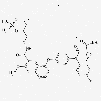 COc1cc2nccc(Oc3ccc(N(C(=O)C4(C(N)=O)CC4)c4ccc(F)cc4)cc3)c2cc1C(=O)NOCC1CCOC(C)(C)O1